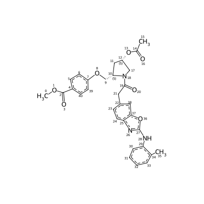 COC(=O)c1ccc(OC[C@@H]2C[C@H](OC(C)=O)CN2C(=O)Cc2ccc3nc(Nc4ccccc4C)oc3c2)cc1